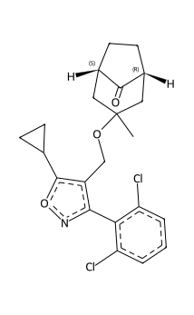 CC1(OCc2c(-c3c(Cl)cccc3Cl)noc2C2CC2)C[C@H]2CC[C@@H](C1)C2=O